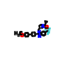 COc1ccc(-c2ccc(-c3nc4ccc(C(F)(F)F)cc4n3CC3CCN(C(=O)C4CC4)C3)cc2)cc1